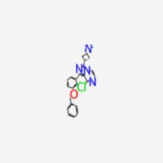 CN(C)[C@H]1C[C@@H](c2nc(-c3cccc(OCc4ccccc4)c3)c3c(Cl)nccn32)C1